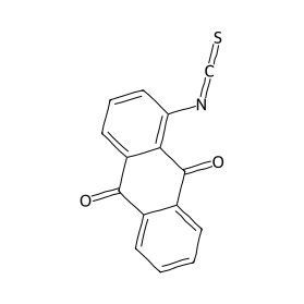 O=C1c2ccccc2C(=O)c2c(N=C=S)cccc21